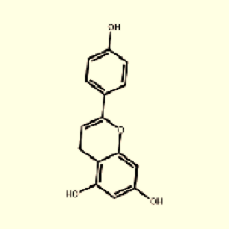 Oc1ccc(C2=CCc3c(O)cc(O)cc3O2)cc1